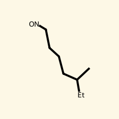 CCC(C)CCCCN=O